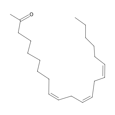 CCCCC/C=C\C/C=C\C/C=C\CCCCCCC(C)=O